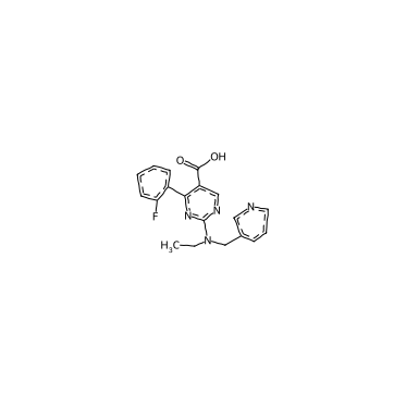 CCN(Cc1cccnc1)c1ncc(C(=O)O)c(-c2ccccc2F)n1